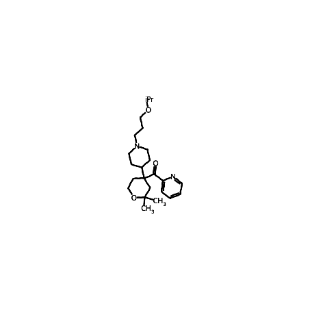 CC(C)OCCCN1CCC(C2(C(=O)c3ccccn3)CCOC(C)(C)C2)CC1